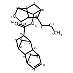 COCC1C2COC3C2CC1C3OC(=O)C1CC2CC1C1C3C=CC(C3)C21